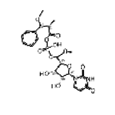 COC(OP(=O)(O)OC(=O)[C@H](C)N(OC)c1ccccc1)[C@H]1O[C@@H](n2ccc(=O)[nH]c2=O)[C@H](O)[C@@H]1O